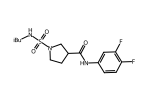 CCC(C)NS(=O)(=O)N1CCC(C(=O)Nc2ccc(F)c(F)c2)C1